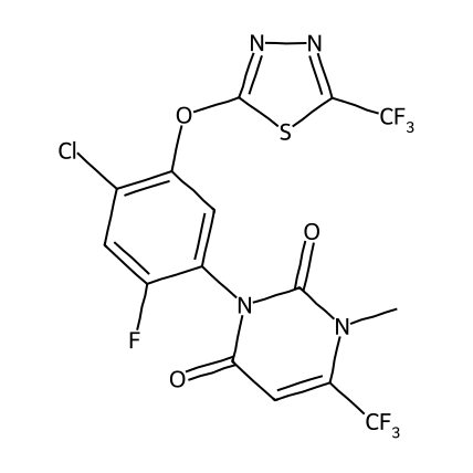 Cn1c(C(F)(F)F)cc(=O)n(-c2cc(Oc3nnc(C(F)(F)F)s3)c(Cl)cc2F)c1=O